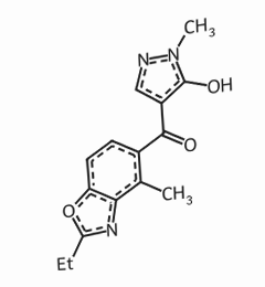 CCc1nc2c(C)c(C(=O)c3cnn(C)c3O)ccc2o1